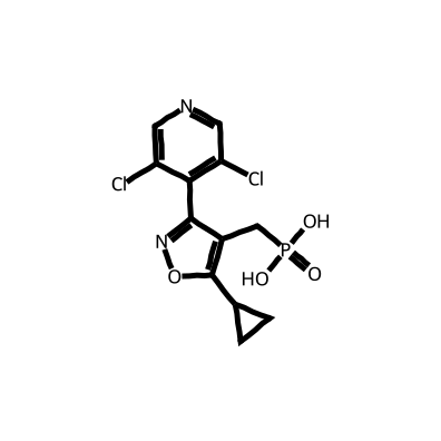 O=P(O)(O)Cc1c(-c2c(Cl)cncc2Cl)noc1C1CC1